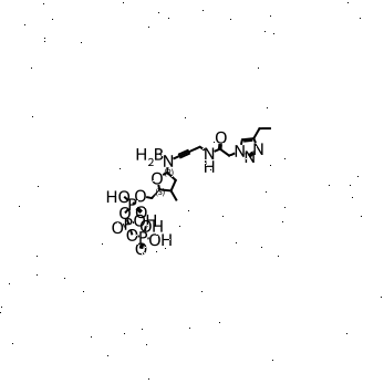 BN(C#CCNC(=O)Cn1cc(CC)nn1)[C@H]1CC(C)[C@@H](COP(=O)(O)OP(=O)(O)OP(=O)(O)O)O1